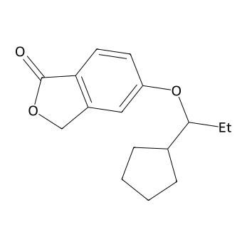 CCC(Oc1ccc2c(c1)COC2=O)C1CCCC1